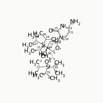 CC(C)[Si](OC[C@H]1O[C@@H](n2ccc(N)nc2=O)C[C@@]1(O)[Si](C(C)C)(C(C)C)C(C)C)(C(C)C)C(C)C